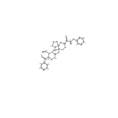 O=CC1CN(CC2(O)CCN(C(=O)NCc3ccccc3)CC23CCCC3)CCN1C(=O)c1ccccc1